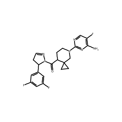 Nc1nc(N2CCC(C(=O)N3N=CCC3c3cc(F)cc(F)c3)C3(CC3)C2)ncc1F